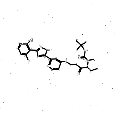 CCC(C(=O)CCNc1ccnc(-c2cc(-c3c(Cl)cccc3Cl)no2)c1)N(C)C(=O)OC(C)(C)C